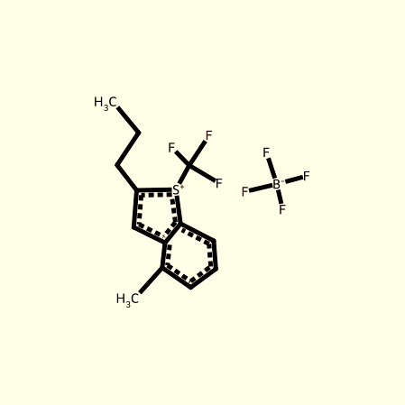 CCCc1cc2c(C)cccc2[s+]1C(F)(F)F.F[B-](F)(F)F